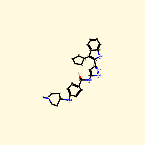 CN1CCC(Nc2ccc(C(=O)Nc3cc(-c4[nH]c5ccccc5c4C4CCCC4)n[nH]3)cc2)CC1